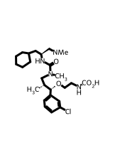 CNC[C@H](CC1CCCCC1)NC(=O)N(C)C[C@@H](C)[C@H](OCCNC(=O)O)c1cccc(Cl)c1